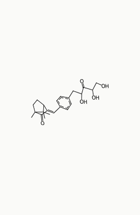 CC12CCC(/C(=C\c3ccc(CC(O)C(=O)C(O)CO)cc3)C1=O)C2(C)C